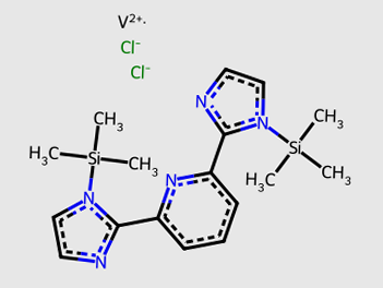 C[Si](C)(C)n1ccnc1-c1cccc(-c2nccn2[Si](C)(C)C)n1.[Cl-].[Cl-].[V+2]